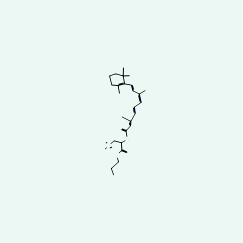 CCCOC(=O)C(CS(=O)(=O)O)NC(=O)/C=C(C)/C=C/C=C(C)\C=C\C1=C(C)CCCC1(C)C